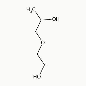 CC(O)COC[CH]O